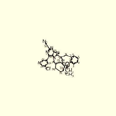 COc1ccccc1CC(F)c1nc2nc(C#N)nc(-c3cncc(Cl)c3)c2n1C[C@H]1CC[C@H](C)CC1